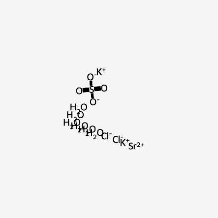 O.O.O.O.O.O.O=S(=O)([O-])[O-].[Cl-].[Cl-].[K+].[K+].[Sr+2]